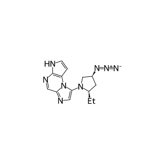 CC[C@@H]1C[C@H](N=[N+]=[N-])CN1c1cnc2cnc3[nH]ccc3n12